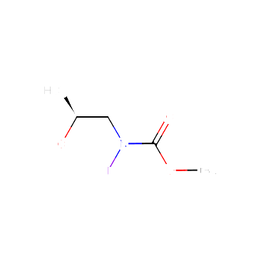 C[C@H](O)CN(I)C(=O)OC(C)(C)C